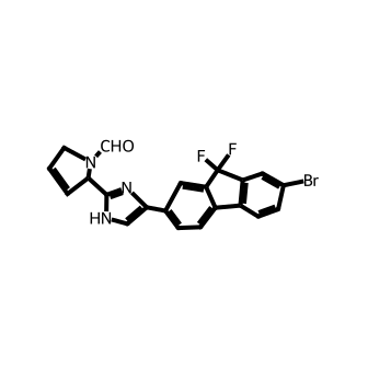 O=CN1CC=CC1c1nc(-c2ccc3c(c2)C(F)(F)c2cc(Br)ccc2-3)c[nH]1